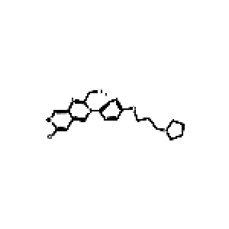 CCC1=NC2=CNC(Cl)=CC2=CN1c1ccc(OCCCN2CCCC2)cc1